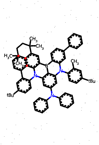 Cc1cc(C(C)(C)C)ccc1N1c2cc(-c3ccccc3)ccc2B2c3cc4c(cc3N(c3ccc(C(C)(C)C)cc3-c3ccccc3)c3cc(N(c5ccccc5)c5ccccc5)cc1c32)C(C)(C)CCC4(C)C